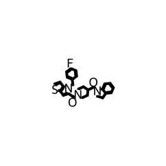 O=C(c1cc2sccc2n1Cc1ccc(F)cc1)N1CCC(C(=O)N2CCc3ccccc32)CC1